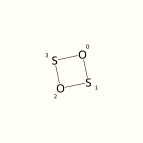 O1SOS1